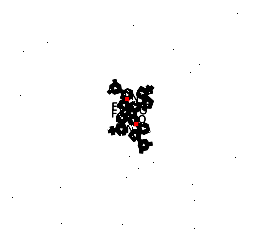 Cc1cc(C)cc(-c2ccc(N(c3ccc(C(C)(C)C)cc3)c3cc4c(c5oc6ccccc6c35)-c3c(cc(N(c5ccc(-c6cc(C)cc(C)c6)cc5)c5ccc(C(C)(C)C)cc5)c5c3oc3ccccc35)C43c4cccc(F)c4-c4c(F)cccc43)cc2)c1